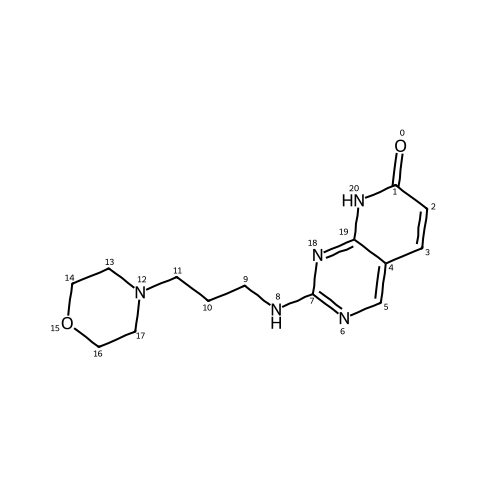 O=c1ccc2cnc(NCCCN3CCOCC3)nc2[nH]1